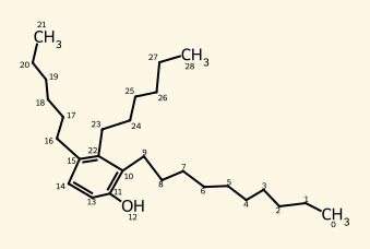 CCCCCCCCCCc1c(O)ccc(CCCCCC)c1CCCCCC